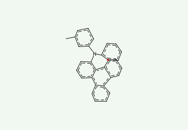 Cc1cccc(N(c2ccccc2)c2cccc3c4ccccc4c4ccccc4c23)c1